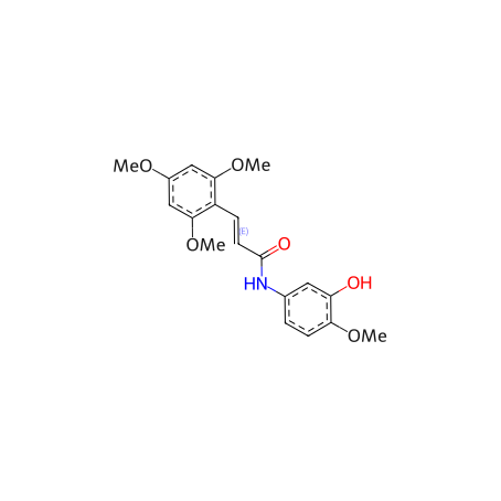 COc1cc(OC)c(/C=C/C(=O)Nc2ccc(OC)c(O)c2)c(OC)c1